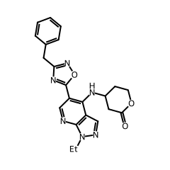 CCn1ncc2c(NC3CCOC(=O)C3)c(-c3nc(Cc4ccccc4)no3)cnc21